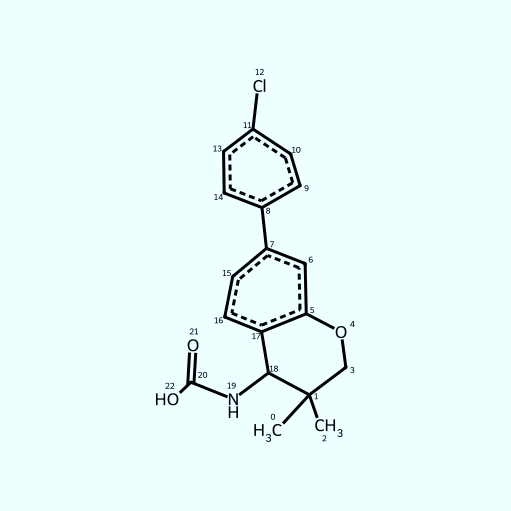 CC1(C)COc2cc(-c3ccc(Cl)cc3)ccc2C1NC(=O)O